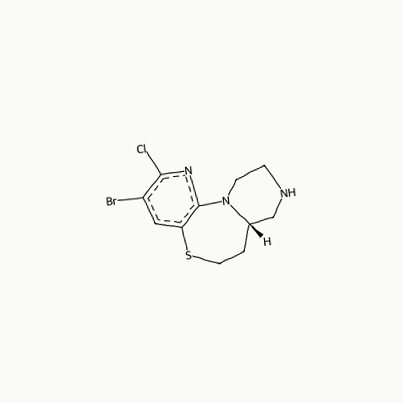 Clc1nc2c(cc1Br)SCC[C@H]1CNCCN21